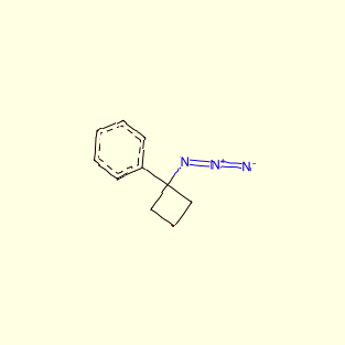 [N-]=[N+]=NC1(c2ccccc2)CCC1